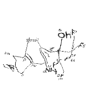 Nc1c(C(O)(C(F)(F)F)C(F)(F)F)ccc2c1CCC2